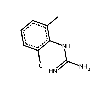 N=C(N)Nc1c(Cl)cccc1I